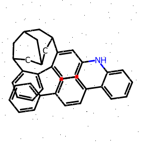 c1ccc(-c2ccc(-c3ccccc3Nc3ccc4c(c3)C3CC5CC(CC(C5)c5ccccc5-4)C3)cc2)cc1